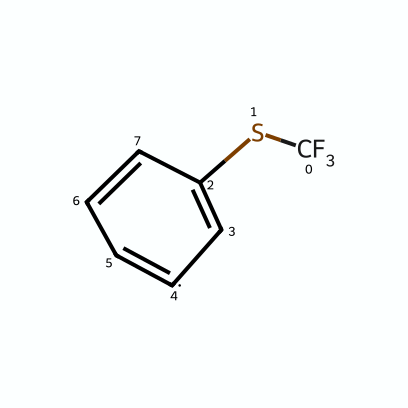 FC(F)(F)Sc1c[c]ccc1